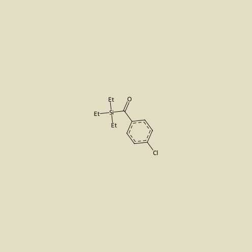 CC[Si](CC)(CC)C(=O)c1ccc(Cl)cc1